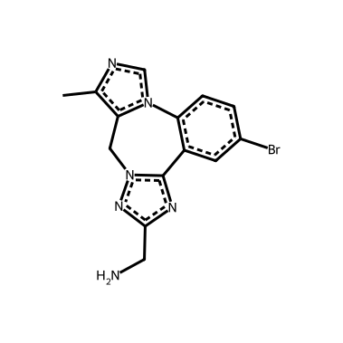 Cc1ncn2c1Cn1nc(CN)nc1-c1cc(Br)ccc1-2